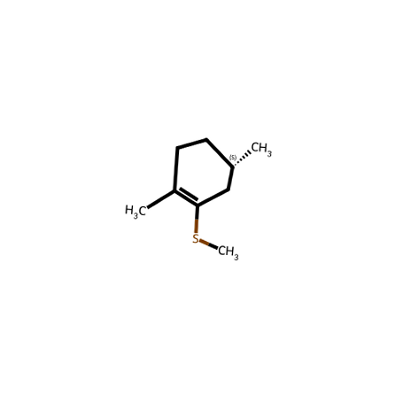 CSC1=C(C)CC[C@H](C)C1